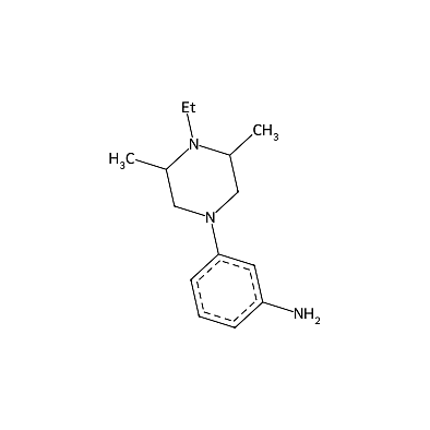 CCN1C(C)CN(c2cccc(N)c2)CC1C